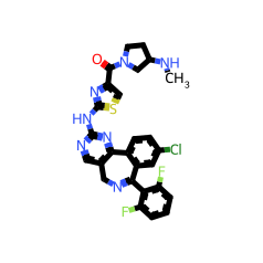 CNC1CCN(C(=O)c2csc(Nc3ncc4c(n3)-c3ccc(Cl)cc3C(c3c(F)cccc3F)=NC4)n2)C1